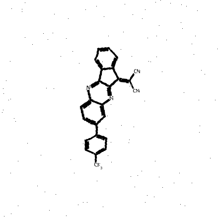 N#CC(C#N)=C1c2ccccc2-c2nc3ccc(-c4ccc(C(F)(F)F)cc4)cc3nc21